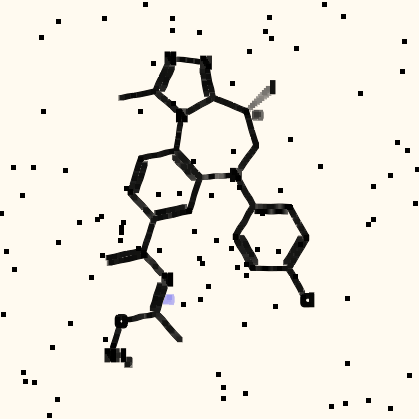 C=C(/N=C(/C)ON)c1ccc2c(c1)N(c1ccc(Cl)cc1)C[C@@H](I)c1nnc(C)n1-2